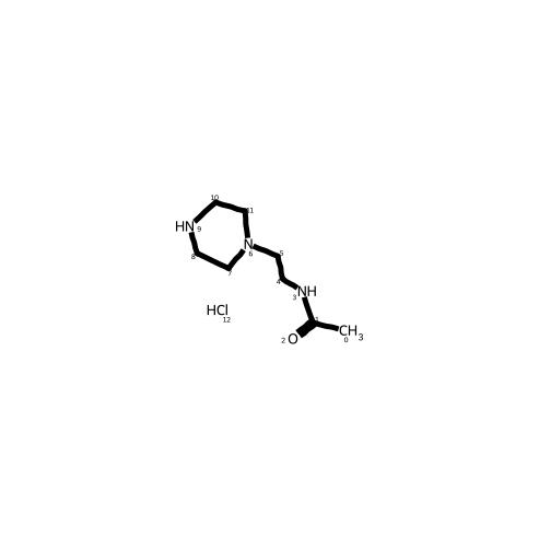 CC(=O)NCCN1CCNCC1.Cl